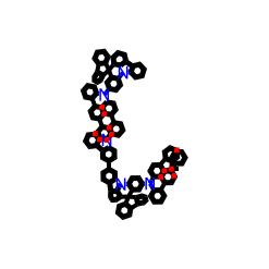 CC1(C)c2ccccc2-c2ccc(N(c3ccc4c(c3)C3(c5ccccc5-c5ccccc53)c3cccc5c6ccc(-c7ccc8c(c7)c7ccccc7n8-c7cccc(-c8ccc(N(c9ccc%10c(c9)C9(c%11ccccc%11-c%11ccccc%119)c9cccc%11c%12ccccc%12n-%10c9%11)c9ccccc9-c9ccc(-c%10ccccc%10)cc9)cc8)c7)cc6n-4c35)c3ccccc3-c3ccc(-c4ccccc4)cc3)cc21